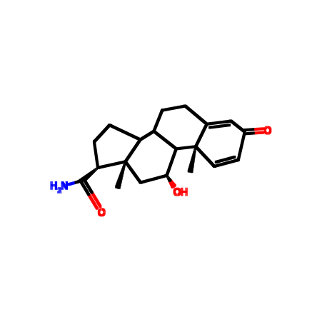 C[C@]12C=CC(=O)C=C1CCC1C2[C@@H](O)C[C@@]2(C)C1CC[C@@H]2C(N)=O